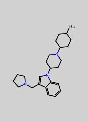 CC(C)(C)C1CCC(N2CCC(n3cc(CN4CCCC4)c4ccccc43)CC2)CC1